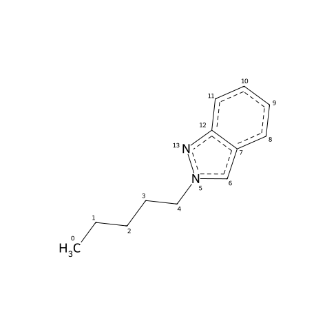 CCCCCn1cc2ccccc2n1